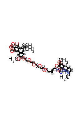 C=CC1=C=CC=C(Cc2cc(OC)c(OCCC3CC3CCOCCOCCOCCOCCOc3cc4c(cc3OC)C3=CC(=O)C(C(=O)O)=CC3=C[C@H](C(C)(C)C)C4)c(OC)c2)C(N)=N1